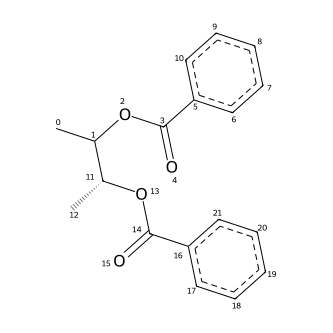 CC(OC(=O)c1ccccc1)[C@@H](C)OC(=O)c1ccccc1